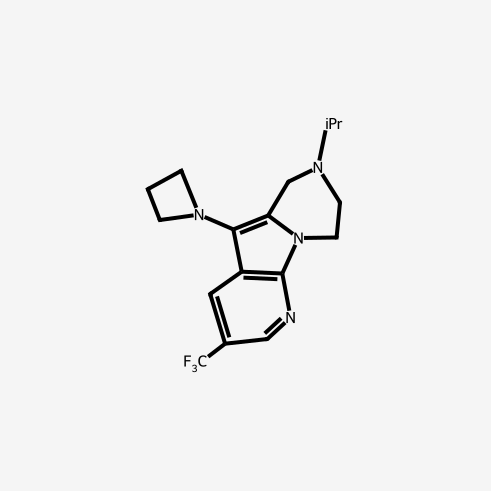 CC(C)N1CCn2c(c(N3CCC3)c3cc(C(F)(F)F)cnc32)C1